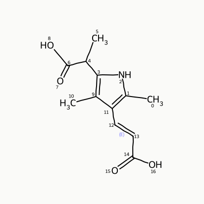 Cc1[nH]c(C(C)C(=O)O)c(C)c1/C=C/C(=O)O